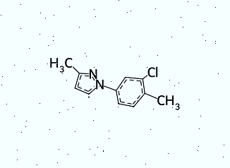 Cc1c[c]n(-c2ccc(C)c(Cl)c2)n1